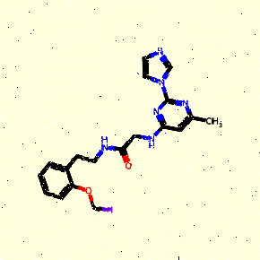 Cc1cc(NCC(=O)NCCc2ccccc2OCI)nc(-n2ccnc2)n1